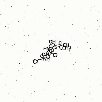 C=C/C(Cl)=C(\C=C/C)CSCC(=O)[C@H](CC(=O)O)NC(=O)Cn1c(Cc2ccccc2)ccc(NC(=O)CCc2ccccc2)c1=O